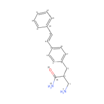 NCC(Cc1ccc(C=Cc2ccccc2)cc1)C(N)=O